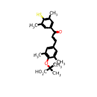 Cc1cc(C(=O)C=Cc2cc(C)c(OC(C)(C)C(=O)O)c(C)c2)cc(C)c1S